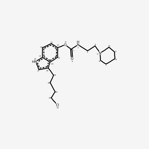 O=C(NCCN1CCCCC1)Oc1ccc2[nH]cc(CCCCCl)c2c1